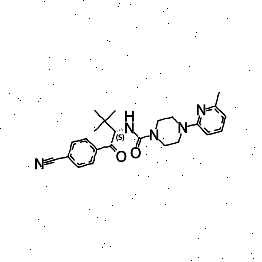 Cc1cccc(N2CCN(C(=O)N[C@H](C(=O)c3ccc(C#N)cc3)C(C)(C)C)CC2)n1